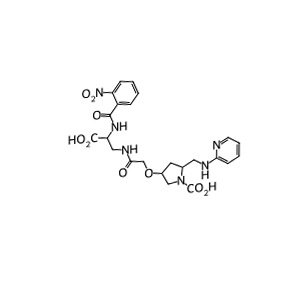 O=C(COC1CC(CNc2ccccn2)N(C(=O)O)C1)NCC(NC(=O)c1ccccc1[N+](=O)[O-])C(=O)O